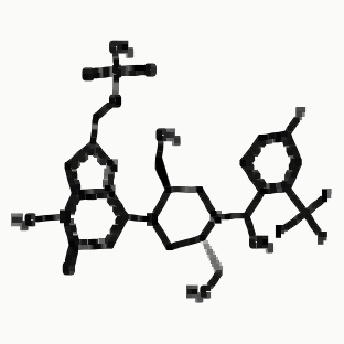 CC[C@H]1CN(C(C)c2ccc(F)cc2C(F)(F)F)[C@H](CC)CN1c1cc(=O)n(C)c2cc(COS(C)(=O)=O)nn12